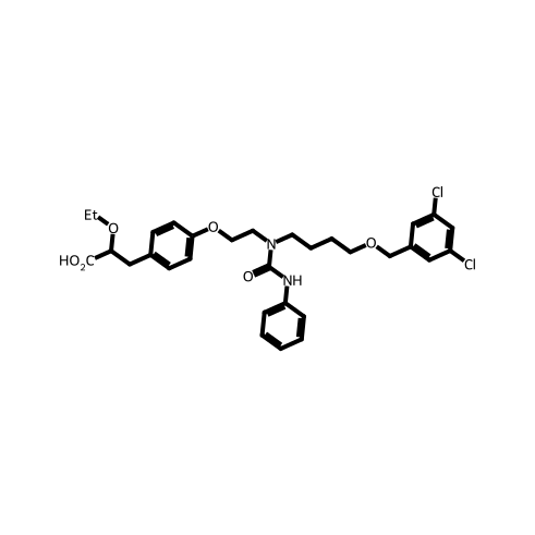 CCOC(Cc1ccc(OCCN(CCCCOCc2cc(Cl)cc(Cl)c2)C(=O)Nc2ccccc2)cc1)C(=O)O